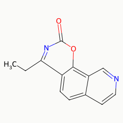 CCc1nc(=O)oc2c1ccc1ccncc12